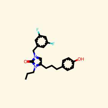 CCCn1c(CCCc2ccc(O)cc2)cn(Cc2cc(F)cc(F)c2)c1=O